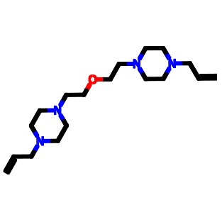 C=CCN1CCN(CCOCCN2CCN(CC=C)CC2)CC1